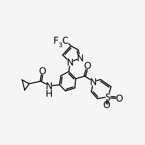 O=C(Nc1ccc(C(=O)N2C=CS(=O)(=O)C=C2)c(-n2cc(C(F)(F)F)cn2)c1)C1CC1